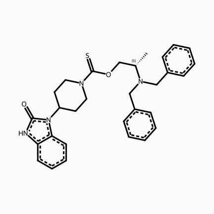 C[C@@H](COC(=S)N1CCC(n2c(=O)[nH]c3ccccc32)CC1)N(Cc1ccccc1)Cc1ccccc1